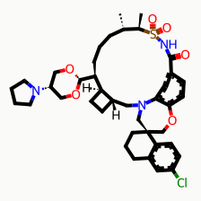 C[C@@H]1[C@@H](C)CCC[C@H]([C@H]2OC[C@@H](N3CCCC3)CO2)[C@@H]2CC[C@H]2CN2C[C@@]3(CCCc4cc(Cl)ccc43)COc3ccc(cc32)C(=O)NS1(=O)=O